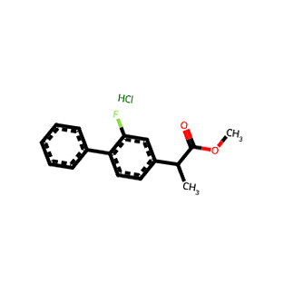 COC(=O)C(C)c1ccc(-c2ccccc2)c(F)c1.Cl